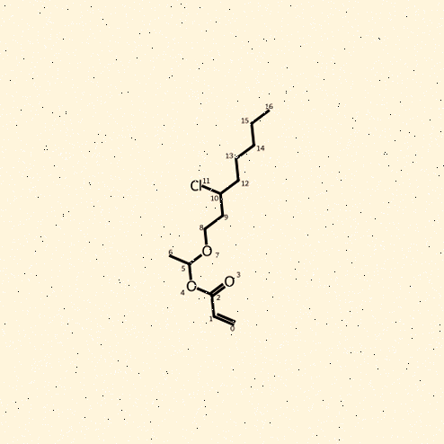 C=CC(=O)OC(C)OCCC(Cl)CCCCC